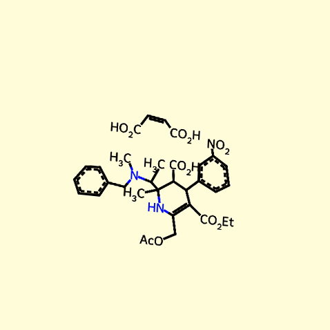 CCOC(=O)C1=C(COC(C)=O)NC(C)(C(C)N(C)Cc2ccccc2)C(C(=O)O)C1c1cccc([N+](=O)[O-])c1.O=C(O)/C=C\C(=O)O